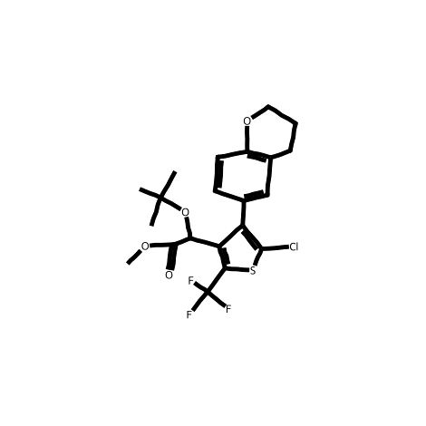 COC(=O)C(OC(C)(C)C)c1c(C(F)(F)F)sc(Cl)c1-c1ccc2c(c1)CCCO2